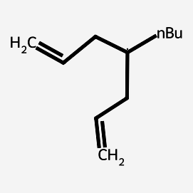 C=CC[C](CC=C)CCCC